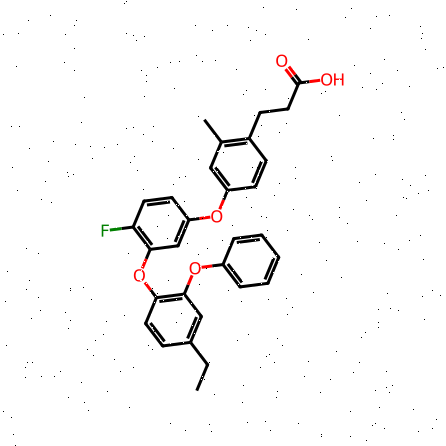 CCc1ccc(Oc2cc(Oc3ccc(CCC(=O)O)c(C)c3)ccc2F)c(Oc2ccccc2)c1